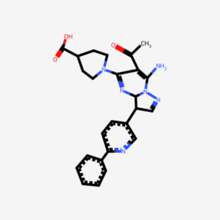 CC(=O)C1=C(N)N2N=CC(c3ccc(-c4ccccc4)nc3)C2N=C1N1CCC(C(=O)O)CC1